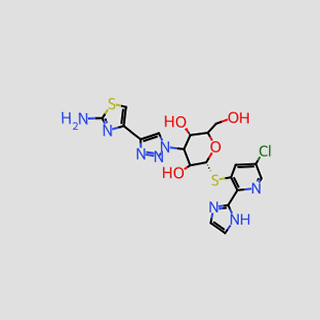 Nc1nc(-c2cn(C3C(O)[C@@H](Sc4cc(Cl)cnc4-c4ncc[nH]4)OC(CO)[C@@H]3O)nn2)cs1